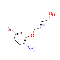 Nc1ccc(Br)cc1OC/C=C/CO